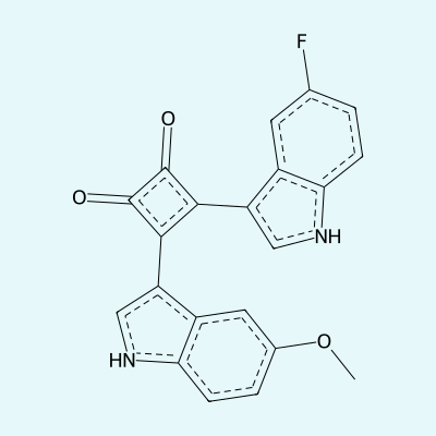 COc1ccc2[nH]cc(-c3c(-c4c[nH]c5ccc(F)cc45)c(=O)c3=O)c2c1